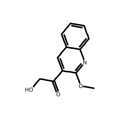 COc1nc2ccccc2cc1C(=O)CO